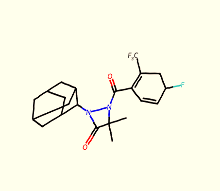 CC1(C)C(=O)N(C2C3CC4CC(C3)CC2C4)N1C(=O)C1=C(C(F)(F)F)CC(F)C=C1